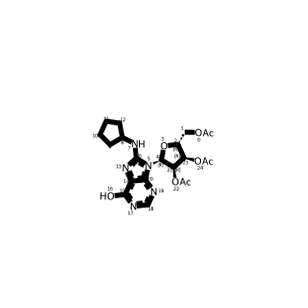 CC(=O)OC[C@H]1O[C@@H](n2c(NC3CCCC3)nc3c(O)ncnc32)[C@H](OC(C)=O)[C@@H]1OC(C)=O